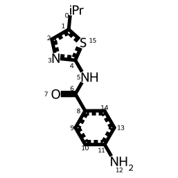 CC(C)c1cnc(NC(=O)c2ccc(N)cc2)s1